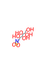 O=S(=O)=NCC(O)C(O)C(O)C(O)CO